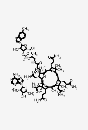 C/C1=C2/[N-][C@H]([C@H](CC(N)=O)[C@@]2(C)CCC(=O)NC[C@@H](C)OP(=O)([O-])O[C@H]2[C@@H](O)[C@@H](n3cnc4cc(C)ccc43)O[C@@H]2CO)[C@]2(C)N=C(/C(C)=C3N=C(/C=C4N=C1[C@@H](CCC(N)=O)C\4(C)C)[C@@H](CCC(N)=O)[C@]\3(C)CC(N)=O)[C@@H](CCC(N)=O)[C@]2(C)CC(N)=O.[CH2-][C@H]1O[C@@H](n2cnc3c(N)ncnc32)[C@H](O)[C@@H]1O.[Co]